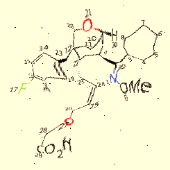 CON=C(C1CCCCC1)[C@@H]1[C@@H]2C[C@@](c3ccc(F)cc3)(CO2)[C@H]1C/C=C\COCC(=O)O